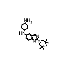 CC1(C)CN(c2ncc3cc(NC4CCC(N)CC4)ccc3n2)CC(C)(C)O1